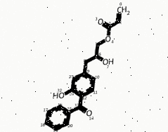 C=CC(=O)OCC(O)Cc1ccc(C(=O)c2ccccc2)c(O)c1